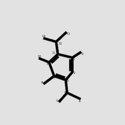 Cc1cc(C(C)C)c(C)c(C)c1C(C)C